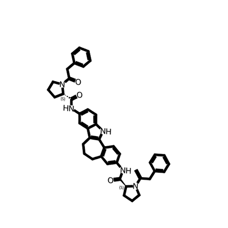 C=C(Cc1ccccc1)N1CCC[C@H]1C(=O)Nc1ccc2c(c1)CCCc1c-2[nH]c2ccc(NC(=O)[C@@H]3CCCN3C(=O)Cc3ccccc3)cc12